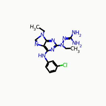 CCN(N=C(N)N)c1nc(Nc2cccc(Cl)c2)c2ncn(CC)c2n1